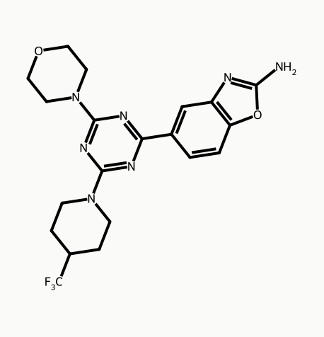 Nc1nc2cc(-c3nc(N4CCOCC4)nc(N4CCC(C(F)(F)F)CC4)n3)ccc2o1